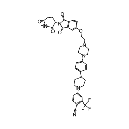 N#Cc1ccc(N2CCC(c3ccc(N4CCN(CCOc5ccc6c(c5)C(=O)N(C5CCC(=O)NC5=O)C6=O)CC4)cc3)CC2)cc1C(F)(F)F